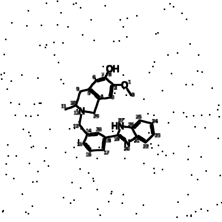 COc1cc2c(cc1O)CC(C)N(Cc1cccc(-c3nc4ccccc4[nH]3)c1)C2